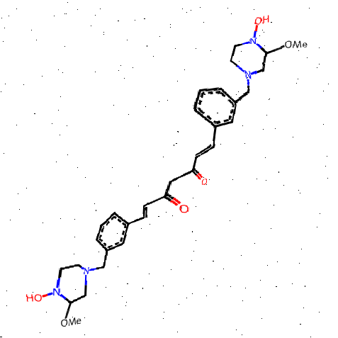 COC1CN(Cc2cccc(C=CC(=O)CC(=O)C=Cc3cccc(CN4CCN(O)C(OC)C4)c3)c2)CCN1O